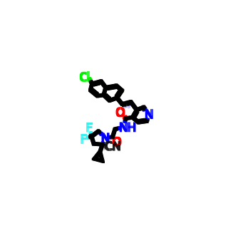 N#C[C@]1(C2CC2)CC(F)(F)CN1C(=O)CNC(=O)c1ccncc1/C=C/c1ccc2cc(Cl)ccc2c1